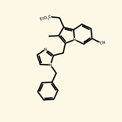 CCOC(=O)Cc1c(C)c(Cc2nccn2Cc2ccccc2)n2cc(C#N)ccc12